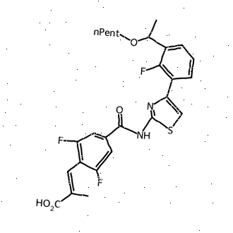 CCCCCOC(C)c1cccc(-c2csc(NC(=O)c3cc(F)c(C=C(C)C(=O)O)c(F)c3)n2)c1F